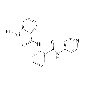 CCOc1ccccc1C(=O)Nc1ccccc1C(=O)Nc1ccncc1